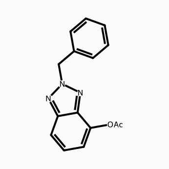 CC(=O)Oc1cccc2nn(Cc3ccccc3)nc12